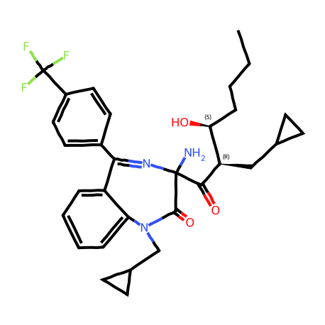 CCCC[C@H](O)[C@@H](CC1CC1)C(=O)C1(N)N=C(c2ccc(C(F)(F)F)cc2)c2ccccc2N(CC2CC2)C1=O